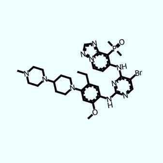 CCc1cc(Nc2ncc(Br)c(Nc3ccn4ncnc4c3P(C)(C)=O)n2)c(OC)cc1N1CCC(N2CCN(C)CC2)CC1